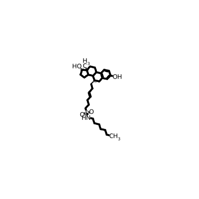 CCCCCCCNS(=O)(=O)CCCC=CCC[C@@H]1Cc2cc(O)ccc2C2CC[C@@]3(C)C(CC[C@@H]3O)C21